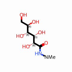 CNNC(=O)[C@H](O)[C@@H](O)[C@H](O)[C@H](O)CO